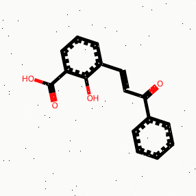 O=C(/C=C/c1cccc(C(=O)O)c1O)c1ccccc1